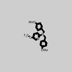 COc1ccc(CN(Cc2ccc(OC)cc2)c2ccc(OC(F)(F)F)cn2)cc1